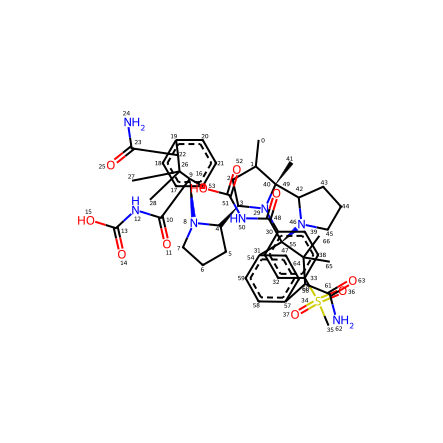 CC1C[C@H](C2CCCN2[C@]2(C(=O)NC(=O)O)c3ccc(cc3)C(C(N)=O)C2(C)C)N(c2ccc(S(C)(=O)=O)cc2)[C@@]1(C)C1CCCN1[C@]1(C(=O)NC(=O)O)c2ccc(cc2)C(C(N)=O)C1(C)C